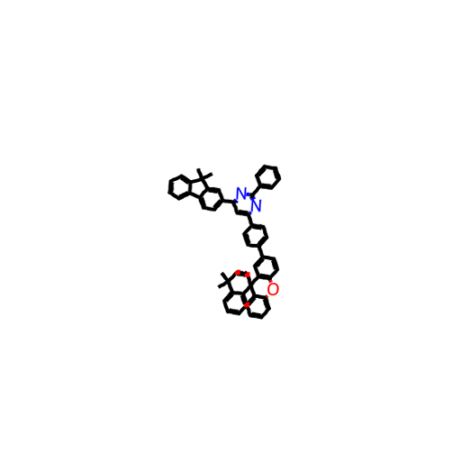 CC1(C)c2ccccc2-c2ccc(-c3cc(-c4ccc(-c5ccc6c(c5)C5(c7ccccc7O6)c6ccccc6C(C)(C)c6ccccc65)cc4)nc(-c4ccccc4)n3)cc21